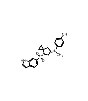 CN(c1ccc(O)cc1)[C@H]1CN(S(=O)(=O)c2ccc3cc[nH]c3c2)C2(CC2)C1